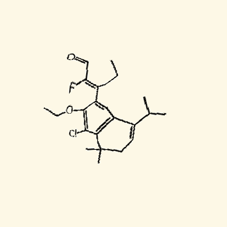 CCOc1c(C(CC)=C(F)C=O)cc2c(c1Cl)C(C)(C)CC=C2C(C)C